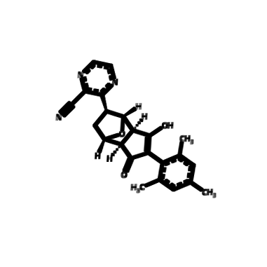 Cc1cc(C)c(C2=C(O)[C@@H]3[C@@H]4O[C@@H](C[C@H]4c4nccnc4C#N)[C@@H]3C2=O)c(C)c1